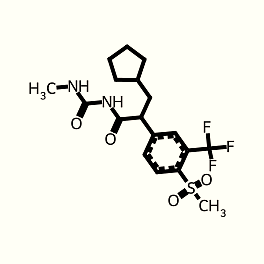 CNC(=O)NC(=O)C(CC1CCCC1)c1ccc(S(C)(=O)=O)c(C(F)(F)F)c1